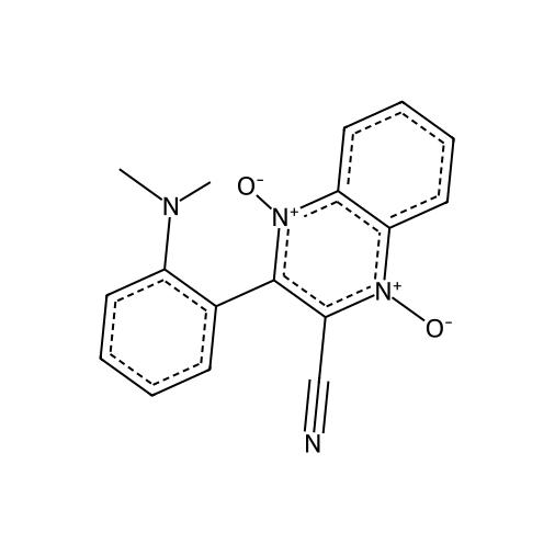 CN(C)c1ccccc1-c1c(C#N)[n+]([O-])c2ccccc2[n+]1[O-]